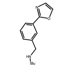 CC(C)(C)NCc1cccc(-c2ncco2)c1